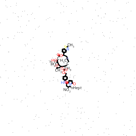 C=CCC1C(=O)C(C)(C)C(O)CC(=O)OC(c2ccc3sc(C)nc3c2)C/C=C(\C)CCCC(C)C1OC(=O)OCc1ccc(NC(=O)CC(C(CCCCCCC)N2C(=O)C=CC2=O)[N+](=O)[O-])cc1